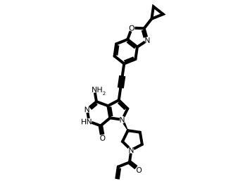 C=CC(=O)N1CC[C@H](n2cc(C#Cc3ccc4oc(C5CC5)nc4c3)c3c(N)n[nH]c(=O)c32)C1